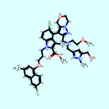 COCCN(Cc1cc(CO)n(C)n1)Cc1nn2c(c1-c1c(Cl)ccc3c1c(C)c(C(=O)OC)n3CCCOc1cc(C)cc3cc(F)ccc13)COCC2